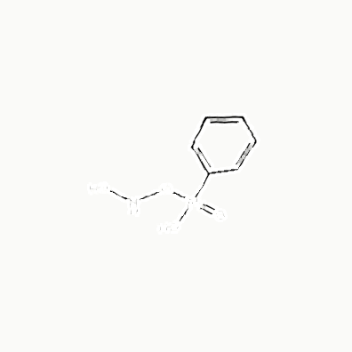 O=[As](O)(ONO)c1ccccc1